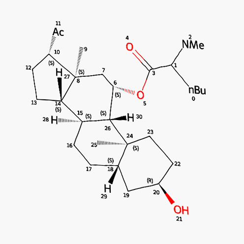 CCCCC(NC)C(=O)O[C@H]1C[C@]2(C)[C@@H](C(C)=O)CC[C@H]2[C@@H]2CC[C@H]3C[C@H](O)CC[C@]3(C)[C@H]21